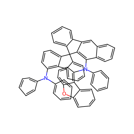 c1ccc(N(c2ccccc2)c2cccc3c2-c2ccccc2C32c3ccccc3-c3cc4ccccc4c(N(c4ccccc4)c4cccc5oc6ccccc6c45)c32)cc1